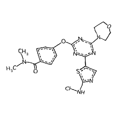 CN(C)C(=O)c1ccc(Oc2nc(-c3cnc(NCl)s3)nc(N3CCOCC3)n2)cc1